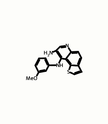 COc1cccc(Nc2c(N)cnc3ccc4ccsc4c23)c1